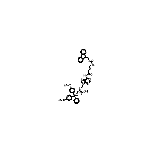 COc1ccc(C(OC[C@@H](OCn2cnc3c(NC(=O)CCCN(C)C(=O)OCC4c5ccccc5-c5ccccc54)ncnc32)C(C)O)(c2ccccc2)c2ccc(OC)cc2)cc1